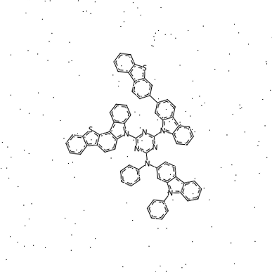 c1ccc(N(c2ccc3c4ccccc4n(-c4ccccc4)c3c2)c2nc(-n3c4ccccc4c4ccc(-c5ccc6c(c5)sc5ccccc56)cc43)nc(-n3c4ccccc4c4c5sc6ccccc6c5ccc43)n2)cc1